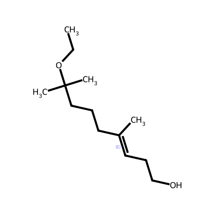 CCOC(C)(C)CCC/C(C)=C/CCO